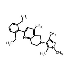 CCc1cccc(CC)c1-c1cc(C)c2c(n1)CCN(c1c(C)nn(C)c1C)C2